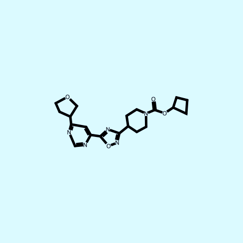 O=C(OC1CCC1)N1CCC(c2noc(-c3cc(C4CCOC4)ncn3)n2)CC1